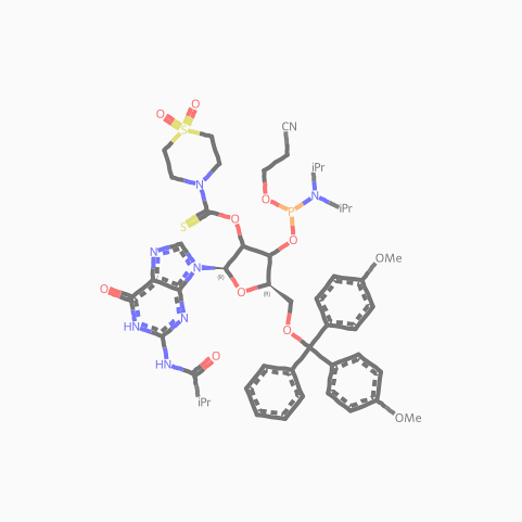 COc1ccc(C(OC[C@H]2O[C@@H](n3cnc4c(=O)[nH]c(NC(=O)C(C)C)nc43)C(OC(=S)N3CCS(=O)(=O)CC3)C2OP(OCCC#N)N(C(C)C)C(C)C)(c2ccccc2)c2ccc(OC)cc2)cc1